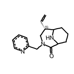 C=C[C@H]1CN(Cc2ccccn2)C(=O)C2CCCC1N2